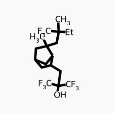 CCC(C)(CC1(C)CC2CC(CC(O)(C(F)(F)F)C(F)(F)F)C1C2)C(F)(F)F